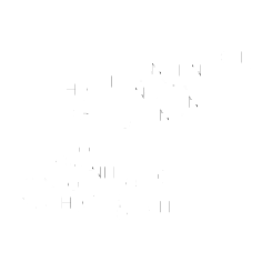 CCNc1ncnc2c1ncn2[C@@H]1O[C@H](CO[P@](=O)(N[C@H](C)C(=O)OC(C)C)Oc2ccccc2)[C@@H](O)[C@@]1(C)F